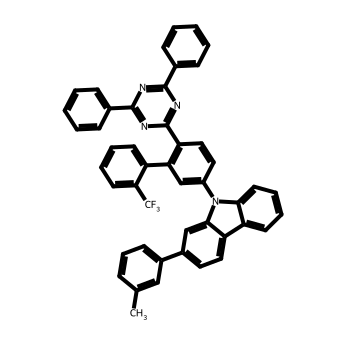 Cc1cccc(-c2ccc3c4ccccc4n(-c4ccc(-c5nc(-c6ccccc6)nc(-c6ccccc6)n5)c(-c5ccccc5C(F)(F)F)c4)c3c2)c1